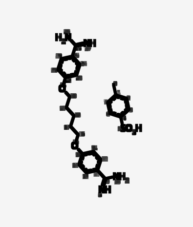 Cc1ccc(S(=O)(=O)O)cc1.N=C(N)c1ccc(OCCCCCOc2ccc(C(=N)N)cc2)cc1